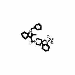 Cc1c(C(=O)N2CCC3(CC2)CN(S(C)(=O)=O)c2ccccc23)c2ccccc2n1Cc1ccccc1